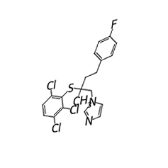 CC(CCc1ccc(F)cc1)(Cn1ccnc1)Sc1c(Cl)ccc(Cl)c1Cl